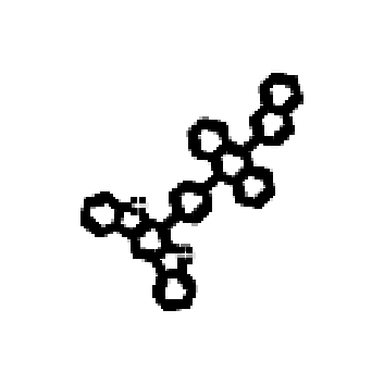 C1=CC2Oc3c(cc4c(oc5ccccc54)c3-c3ccc(-c4c5ccccc5c(-c5ccc6ccccc6c5)c5ccccc45)cc3)C2C=C1